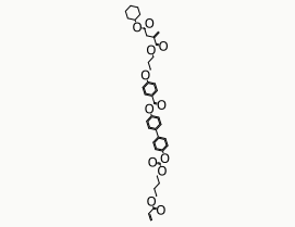 C=CC(=O)OCCCCOC(=O)Oc1ccc(-c2ccc(OC(=O)c3ccc(OCCCOC(=O)C(=C)CC(=O)OC4CCCCC4)cc3)cc2)cc1